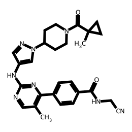 Cc1cnc(Nc2cnn(C3CCN(C(=O)C4(C)CC4)CC3)c2)nc1-c1ccc(C(=O)NCC#N)cc1